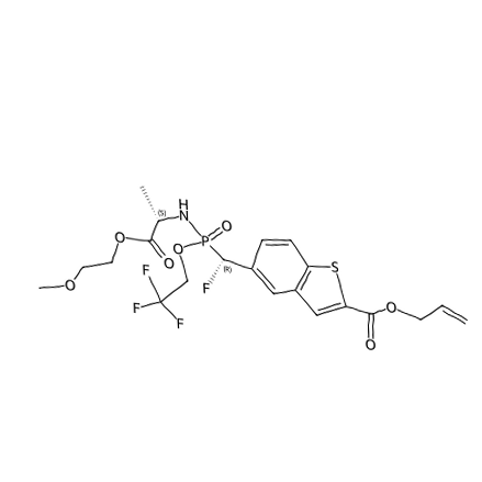 C=CCOC(=O)c1cc2cc([C@H](F)P(=O)(N[C@@H](C)C(=O)OCCOC)OCC(F)(F)F)ccc2s1